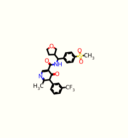 CC1=NC=C(C(=O)NC(c2ccc(S(C)(=O)=O)cc2)C2CCOC2)C(=O)C1c1cccc(C(F)(F)F)c1